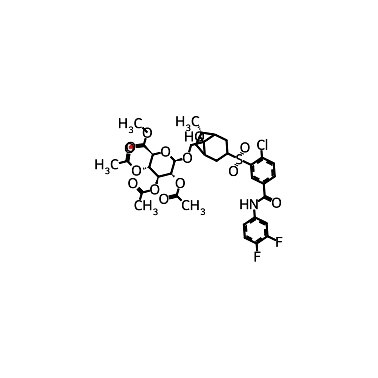 COC(=O)[C@H]1O[C@@H](OC[C@@]2(O)C3CC(S(=O)(=O)c4cc(C(=O)Nc5ccc(F)c(F)c5)ccc4Cl)CC2[C@@H](C)C3)[C@H](OC(C)=O)[C@@H](OC(C)=O)[C@@H]1OC(C)=O